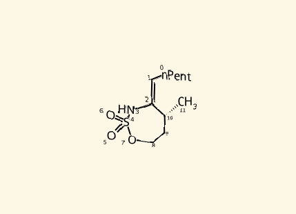 CCCCC/C=C1/NS(=O)(=O)OCC[C@H]1C